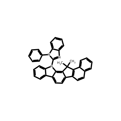 CC1(C)c2c(ccc3ccccc23)-c2ccc3c4ccccc4n(-c4nc5ccccc5n4-c4ccccc4)c3c21